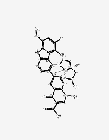 CNc1cc(F)c(C)c2c1[nH]c1ncc(-c3cnc4c(c3)c(=O)c(C(=O)O)cn4C)c(N3CC[C@H]4CN(C)C[C@H]43)c12